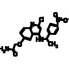 CC(Nc1cc(Cl)nc2ccc(OCC(N)=O)cc12)c1ccc([N+](=O)[O-])cc1